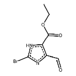 CCOC(=O)c1[nH]c(Br)nc1C=O